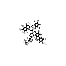 [2H]c1c([2H])c(F)c(F)c(CSc2c([2H])c(=O)c3c([2H])c([2H])c([2H])c([2H])c3n2CC(=O)N(Cc2c([2H])c([2H])c(-c3c([2H])c([2H])c(C(F)(F)F)c(C)c3[2H])c([2H])c2[2H])C2CCN(C([2H])([2H])C([2H])([2H])OC([2H])([2H])[2H])CC2)c1[2H]